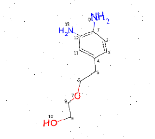 Nc1ccc(CCOCCO)cc1N